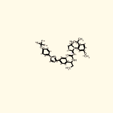 CCC(NC(=O)/N=C1\SCC(=O)N1c1cc(OC)ccc1C(C)C)c1ccc(-c2ncn(-c3ccc(OC(F)(F)F)cc3)n2)cc1